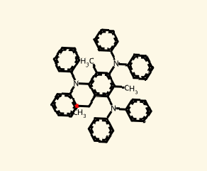 CCCc1c(N(c2ccccc2)c2ccccc2)c(C)c(N(c2ccccc2)c2ccccc2)c(C)c1N(c1ccccc1)c1ccccc1